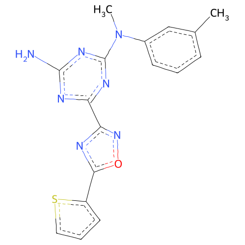 Cc1cccc(N(C)c2nc(N)nc(-c3noc(-c4cccs4)n3)n2)c1